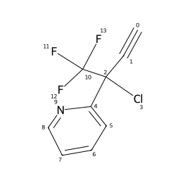 C#CC(Cl)(c1ccccn1)C(F)(F)F